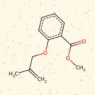 C=C(C)COc1cc[c]cc1C(=O)OC